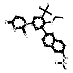 CCOc1c(-c2ccc3cc(N[S+](C)[O-])ccc3c2)cc(-n2ccc(=O)[nH]c2=O)cc1C(C)(C)C